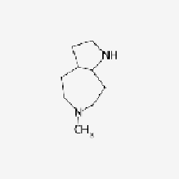 CN1CCC2CCNC2CC1